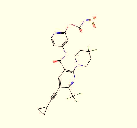 O=C(N=S(=O)=O)Oc1cc(NC(=O)c2cc(C#CC3CC3)c(C(F)(F)F)nc2N2CCC(F)(F)CC2)ccn1